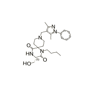 CCCCN1C(=O)[C@H](CO)NC(=O)C12CCN(Cc1c(C)nn(-c3ccccc3)c1C)CC2